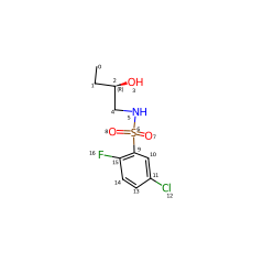 CC[C@@H](O)CNS(=O)(=O)c1cc(Cl)ccc1F